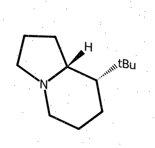 CC(C)(C)[C@@H]1CCCN2CCC[C@H]12